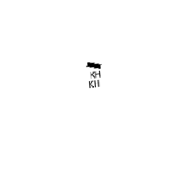 C=C.[KH].[KH]